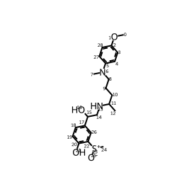 COc1ccc(N(C)CCCC(C)NCC(O)c2ccc(O)c([S+](C)[O-])c2)cc1